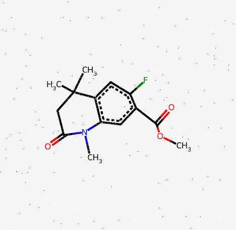 COC(=O)c1cc2c(cc1F)C(C)(C)CC(=O)N2C